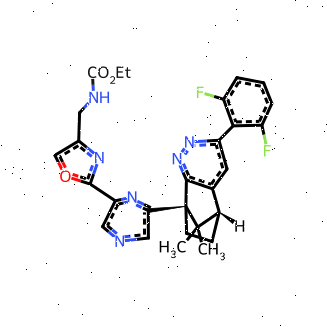 CCOC(=O)NCc1coc(-c2cncc([C@@]34CC[C@@H](c5cc(-c6c(F)cccc6F)nnc53)C4(C)C)n2)n1